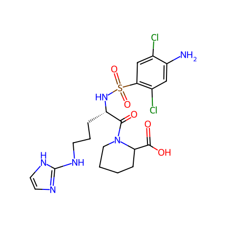 Nc1cc(Cl)c(S(=O)(=O)N[C@@H](CCCNc2ncc[nH]2)C(=O)N2CCCCC2C(=O)O)cc1Cl